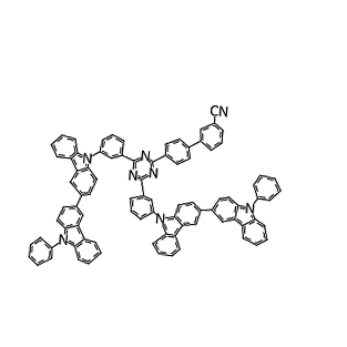 N#Cc1cccc(-c2ccc(-c3nc(-c4cccc(-n5c6ccccc6c6cc(-c7ccc8c(c7)c7ccccc7n8-c7ccccc7)ccc65)c4)nc(-c4cccc(-n5c6ccccc6c6cc(-c7ccc8c(c7)c7ccccc7n8-c7ccccc7)ccc65)c4)n3)cc2)c1